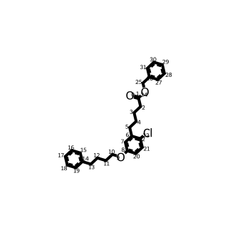 O=C(CCCCc1cc(OCCCCc2ccccc2)ccc1Cl)OCc1ccccc1